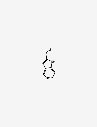 IOc1nc2ccccc2[nH]1